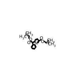 CN(C)CCOC(=O)c1ccc2c(C(=O)OCCN(C)C)c3ccccc3n2c1